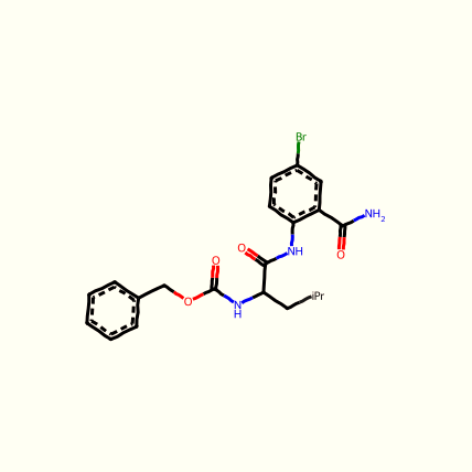 CC(C)CC(NC(=O)OCc1ccccc1)C(=O)Nc1ccc(Br)cc1C(N)=O